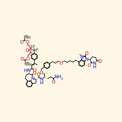 C/C(=C\C(=O)N[C@H]1CCc2cccc3c2N(C1=O)[C@H](C(=O)N[C@@H](CCC(N)=O)[C@@H](C)OCc1ccc(CCCOCCCCCc2cccc4c2n(C)c(=O)n4C2CCC(=O)NC2=O)cc1)C3)c1ccc(C(F)(F)P(=O)(OCOC(=O)C(C)(C)C)OCOC(=O)C(C)(C)C)cc1